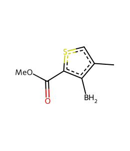 Bc1c(C)csc1C(=O)OC